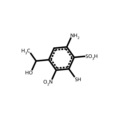 CC(O)c1cc(N)c(S(=O)(=O)O)c(S)c1[N+](=O)[O-]